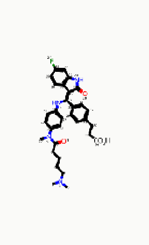 CN(C)CCCCC(=O)N(C)c1ccc(NC(=C2C(=O)Nc3cc(F)ccc32)c2ccc(CCC(=O)O)cc2)cc1